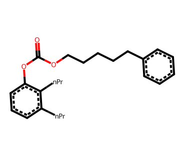 CCCc1cccc(OC(=O)OCCCCCc2ccccc2)c1CCC